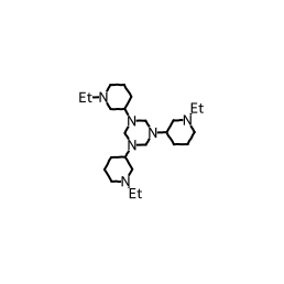 CCN1CCCC(N2CN(C3CCCN(CC)C3)CN(C3CCCN(CC)C3)C2)C1